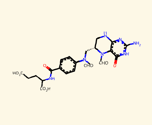 Nc1nc2c(c(=O)[nH]1)N(C=O)[C@H](CN(C=O)c1ccc(C(=O)NC(CCC(=O)O)C(=O)O)cc1)CN2